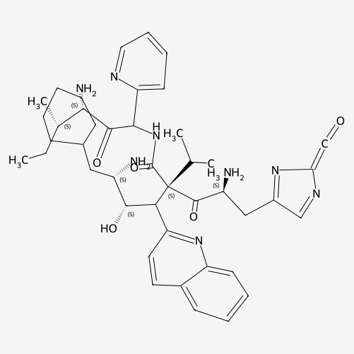 CC[C@H](C)[C@H](N)C(=O)C(NC(=O)[C@@](C(=O)[C@@H](N)CC1=NC(=C=O)N=C1)(C(C)C)C(c1ccc2ccccc2n1)[C@H](O)[C@@H](N)CC1CCCCC1)c1ccccn1